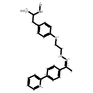 CCNC(Cc1ccc(OCCO/N=C(/C)c2ccc(-c3ccccn3)cc2)cc1)C(=O)OCC